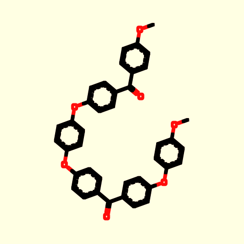 COc1ccc(Oc2ccc(C(=O)c3ccc(Oc4ccc(Oc5ccc(C(=O)c6ccc(OC)cc6)cc5)cc4)cc3)cc2)cc1